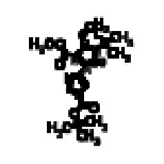 COC(=O)[C@@H]1[C@@H](c2cn(C(=O)OC(C)(C)C)cn2)[Se][C@H](C(C)(C)C)N1C=O